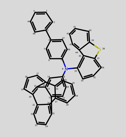 c1ccc(-c2ccc(N(c3ccc4c(c3)-c3c5cccc3-c3cccc-4c3-c3ccccc3-5)c3cccc4sc5ccccc5c34)cc2)cc1